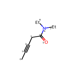 CC#CCC(=O)N(CC)CC